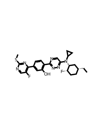 CC[C@@H]1CC[C@H](F)[C@H](N(c2cnc(-c3ccc(-c4nc(SC)ncc4F)cc3O)nn2)C2CC2)C1